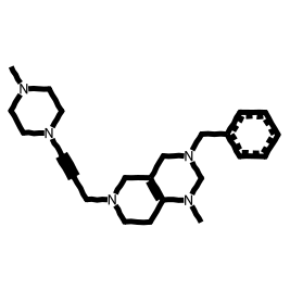 CN1CCN(C#CCN2CCC3=C(C2)CN(Cc2ccccc2)CN3C)CC1